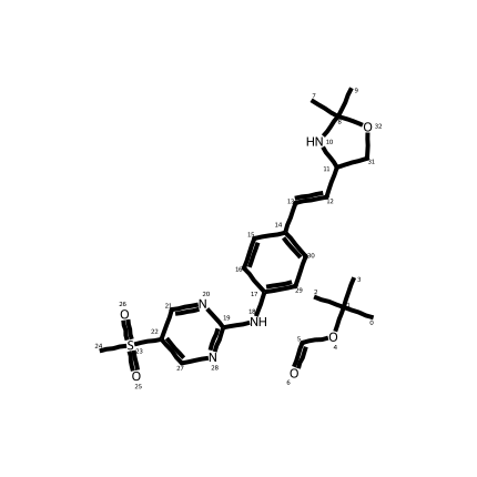 CC(C)(C)OC=O.CC1(C)NC(C=Cc2ccc(Nc3ncc(S(C)(=O)=O)cn3)cc2)CO1